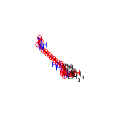 CCc1c2c(nc3ccc(OB(C)O)cc13)-c1cc3c(c(=O)n1C2)COC(=O)C3(C)OC(=O)OCC(NC(=O)COCC(=O)NCCOCCOCCOCCOCCOCCOCCOCCOCCn1cc(CNC(=O)C2CCC(CN3C(=O)C=CC3=O)CC2)nn1)C(C)C